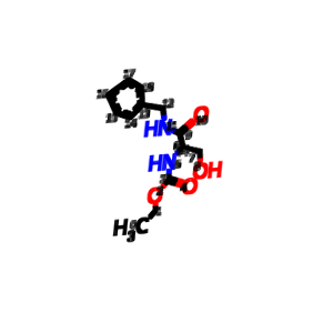 CCOC(=O)N[C@H](CO)C(=O)NCc1ccccc1